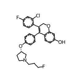 Oc1ccc2c(c1)OCC(c1ccc(F)cc1Cl)=C2c1ccc(O[C@H]2CCN(CCCF)C2)cc1